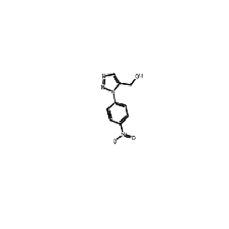 O=[N+]([O-])c1ccc(-n2nncc2CO)cc1